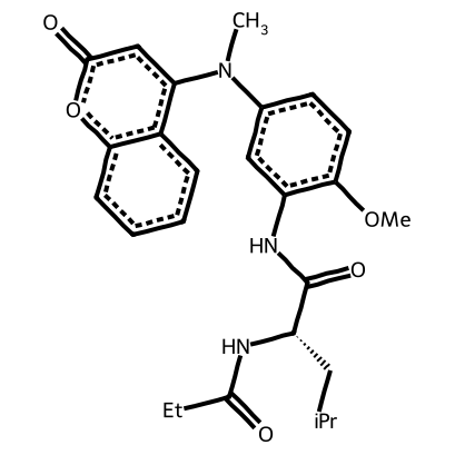 CCC(=O)N[C@@H](CC(C)C)C(=O)Nc1cc(N(C)c2cc(=O)oc3ccccc23)ccc1OC